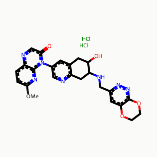 COc1ccc2ncc(=O)n(-c3cnc4c(c3)CC(O)C(NCc3cc5c(nn3)OCCO5)C4)c2n1.Cl.Cl